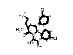 C=CC[C@@]1(C)C[C@H](c2cccc(Cl)c2)[C@@H](c2ccc(Cl)cc2)N(C(CC)CC(C)=O)C1=O